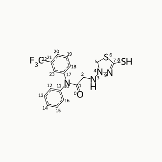 O=C(CNN1CSC(S)=N1)N(c1ccccc1)c1cccc(C(F)(F)F)c1